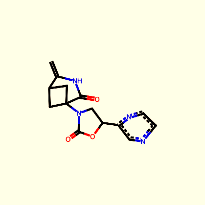 C=C1NC(=O)C2(N3CC(c4cnccn4)OC3=O)CC1C2